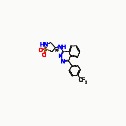 O=S1(=O)C[C@H](Nc2nnc(-c3ccc(C(F)(F)F)cc3)c3ccccc23)CN1